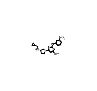 CCCc1cc(N2CC[C@H](NCC3CC3)C2)nc(Nc2cccc([N+](=O)[O-])c2)n1